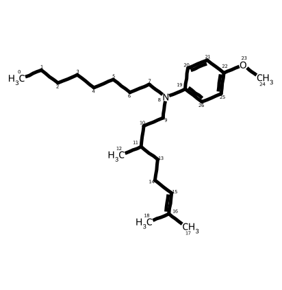 CCCCCCCCN(CCC(C)CCC=C(C)C)c1ccc(OC)cc1